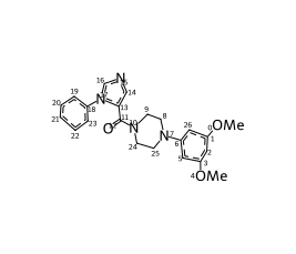 COc1cc(OC)cc(N2CCN(C(=O)c3cncn3-c3ccccc3)CC2)c1